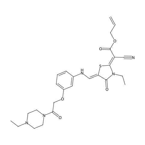 C=CCOC(=O)C(C#N)=c1sc(=CNc2cccc(OCC(=O)N3CCN(CC)CC3)c2)c(=O)n1CC